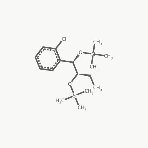 CC[C@@H](O[Si](C)(C)C)[C@H](O[Si](C)(C)C)c1ccccc1Cl